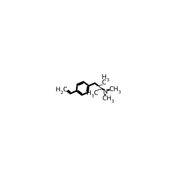 C=Cc1ccc(CS(C)(C)N(C)C)cc1